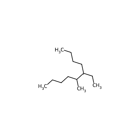 CCCC[C](CC)C(C)CCCC